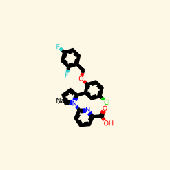 O=C(O)c1cccc(-n2cccc2-c2cc(Cl)ccc2OCc2ccc(F)cc2F)n1.[Na]